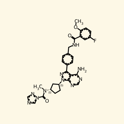 COc1ccc(F)cc1C(=O)NCc1ccc(-c2nn([C@H]3CC[C@H](N(C)C(=O)n4cncn4)C3)c3ncnc(N)c23)cc1